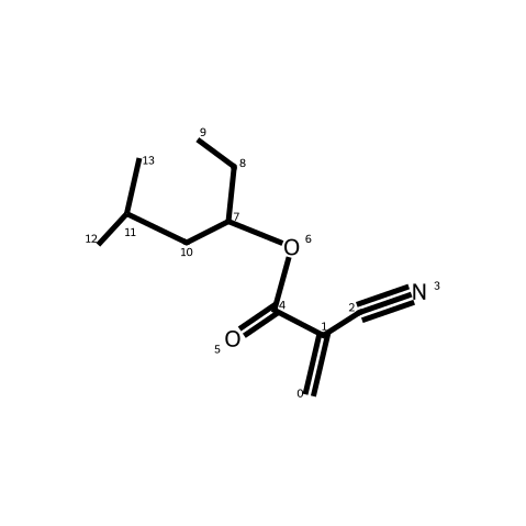 C=C(C#N)C(=O)OC(CC)CC(C)C